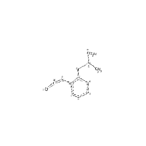 CN(Cc1ccccc1N=C=O)C(=O)O